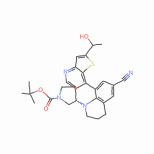 CC(O)c1cc2nccc(-c3cc(C#N)cc4c3N([C@@H]3CCN(C(=O)OC(C)(C)C)C3)CCC4)c2s1